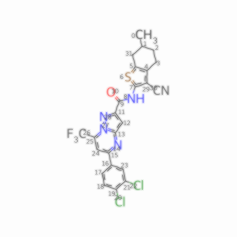 CC1CCc2c(sc(NC(=O)c3cc4nc(-c5ccc(Cl)c(Cl)c5)cc(C(F)(F)F)n4n3)c2C#N)C1